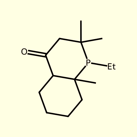 CCP1C(C)(C)CC(=O)C2CCCCC21C